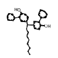 CCCCCCCCC(c1ccc(O)c(-c2ccccc2)c1)c1ccc(O)c(-c2ccccc2)c1